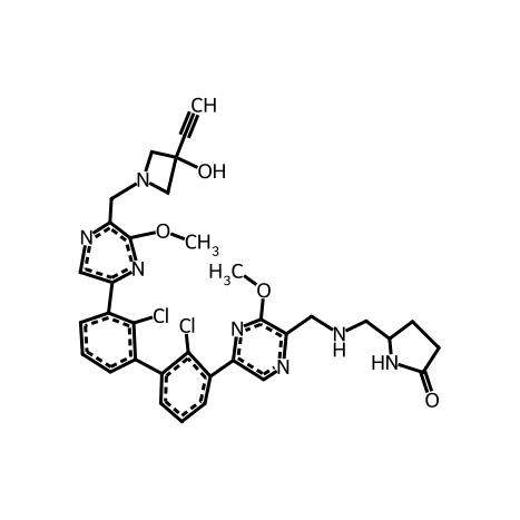 C#CC1(O)CN(Cc2ncc(-c3cccc(-c4cccc(-c5cnc(CNCC6CCC(=O)N6)c(OC)n5)c4Cl)c3Cl)nc2OC)C1